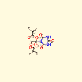 C=C(C)C(=O)OC(CO)(OC(=O)C(=C)C)n1c(=O)[nH]c(=O)[nH]c1=O